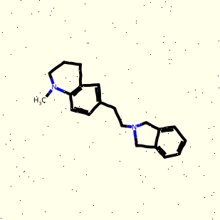 CN1CCCc2cc(CCN3Cc4ccccc4C3)ccc21